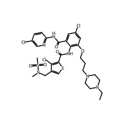 CCN1CCN(CCCOc2cc(Cl)cc(C(=O)Nc3ccc(Cl)cn3)c2NC(=O)c2scc(CN(C)S(C)(=O)=O)c2Cl)CC1